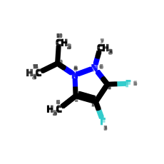 CC1=C(F)C(F)N(C)N1C(C)C